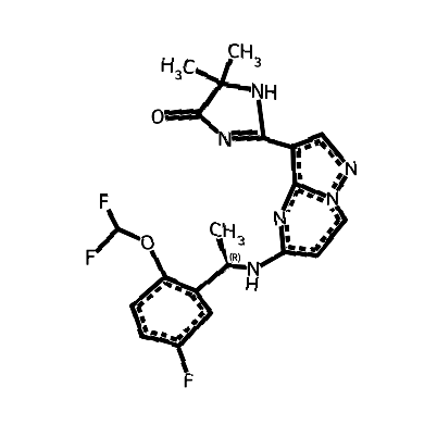 C[C@@H](Nc1ccn2ncc(C3=NC(=O)C(C)(C)N3)c2n1)c1cc(F)ccc1OC(F)F